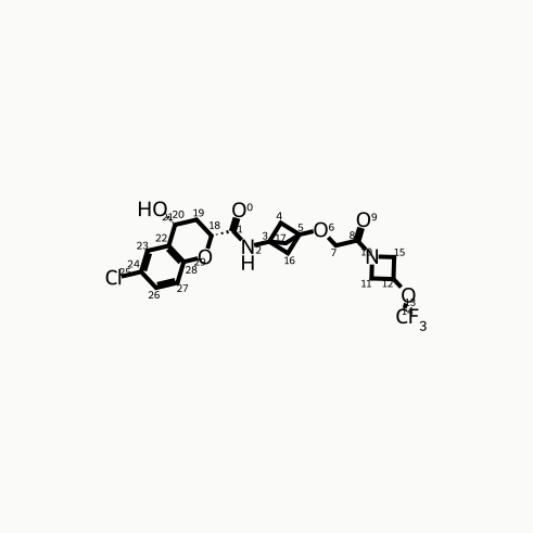 O=C(NC12CC(OCC(=O)N3CC(OC(F)(F)F)C3)(C1)C2)[C@H]1C[C@@H](O)c2cc(Cl)ccc2O1